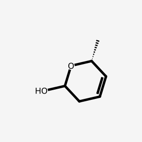 C[C@@H]1C=CCC(O)O1